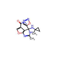 CC1=Nc2occ(C(N)=O)c2C(NC2(C)CC2)(c2cnno2)N1